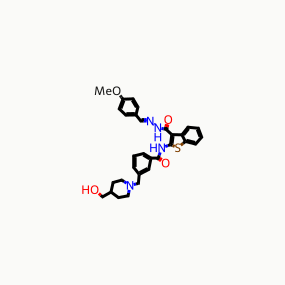 COc1ccc(C=NNC(=O)c2c(NC(=O)c3cccc(CN4CCC(CO)CC4)c3)sc3ccccc23)cc1